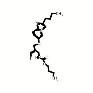 CCCCOC(=O)NC/C(=C\F)COc1ccc2nc(CCCC)cn2c1